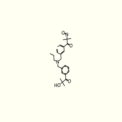 C=C/C(=C\C(=C/C)C(=O)C(C)(C)N=O)CN(CCC)Cc1cccc(C(=O)C(C)(C)O)c1